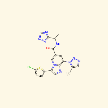 CC(NC(=O)c1cc(-n2nncc2C(F)(F)F)c2ncc(-c3ccc(Cl)s3)n2c1)c1nnc[nH]1